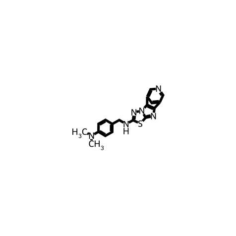 CN(C)c1ccc(CNc2nn3c4c(nc3s2)-c2cncc-4c2)cc1